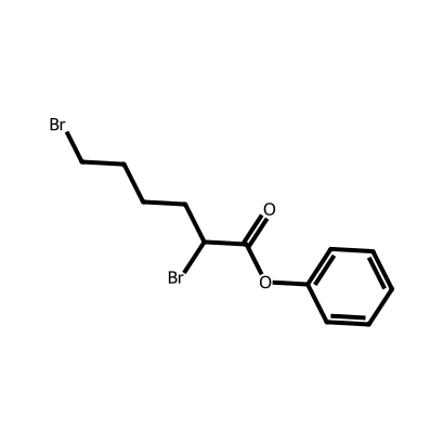 O=C(Oc1ccccc1)C(Br)CCCCBr